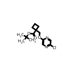 CC(C)(C)OC(=O)C1(COc2cnc(Cl)cn2)CCC1